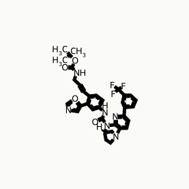 CC(C)(C)OC(=O)NCC#Cc1ccc(NC(=O)N2c3nc(-c4cccc(C(F)(F)F)c4)ccc3N3CC[C@H]2C3)cc1-c1cnco1